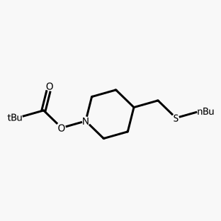 CCCCSCC1CCN(OC(=O)C(C)(C)C)CC1